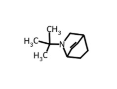 CC(C)(C)N1CC2C=CC1CC2